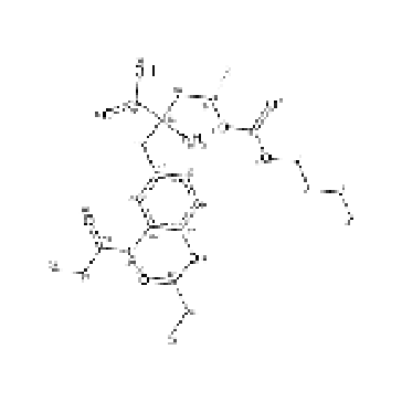 CCCCOC(=O)O[C@@H](C)CC(N)(Cc1ccc(OC(=O)CC)c(OC(=O)CC)c1)C(=O)O